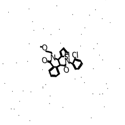 COCCN1C(=O)c2ccccc2C(C(=O)Nc2ccccc2Cl)C1c1cccs1